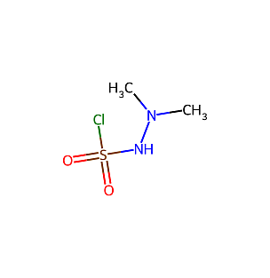 CN(C)NS(=O)(=O)Cl